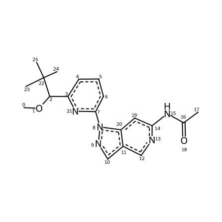 COC(c1cccc(-n2ncc3cnc(NC(C)=O)cc32)n1)C(C)(C)C